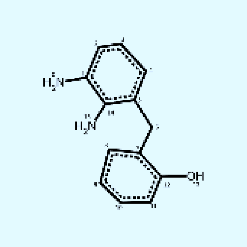 Nc1cccc(Cc2ccccc2O)c1N